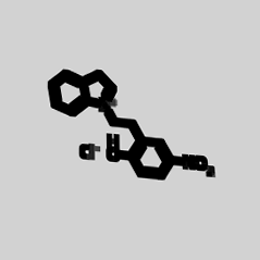 O=[N+]([O-])c1ccc(O)c(CC[N+]2=CCc3ccccc32)c1.[Cl-]